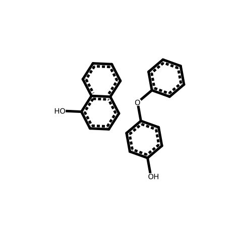 Oc1ccc(Oc2ccccc2)cc1.Oc1cccc2ccccc12